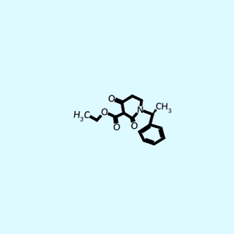 CCOC(=O)C1C(=O)CCN([C@@H](C)c2ccccc2)C1=O